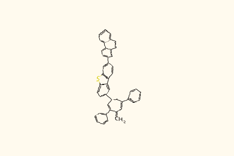 C=C1C=C(c2ccccc2)CC(c2ccc3sc4cc(-c5ccc6c(ccc7ccccc76)c5)ccc4c3c2)C=C1c1ccccc1